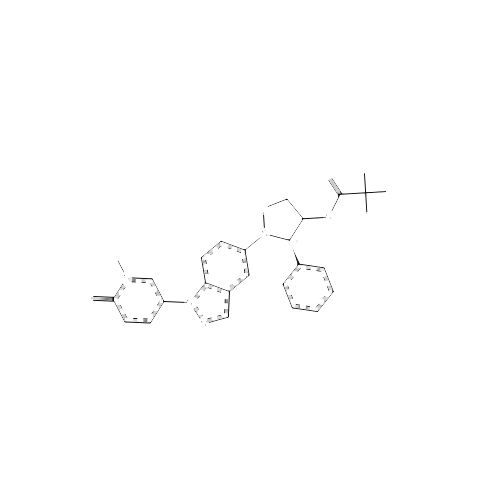 Cn1cc(-n2ncc3cc(N4SCC(NC(=O)C(C)(F)F)[C@H]4c4ccccc4)ccc32)ccc1=O